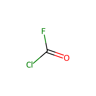 O=C(F)Cl